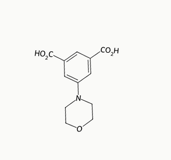 O=C(O)c1cc(C(=O)O)cc(N2CCOCC2)c1